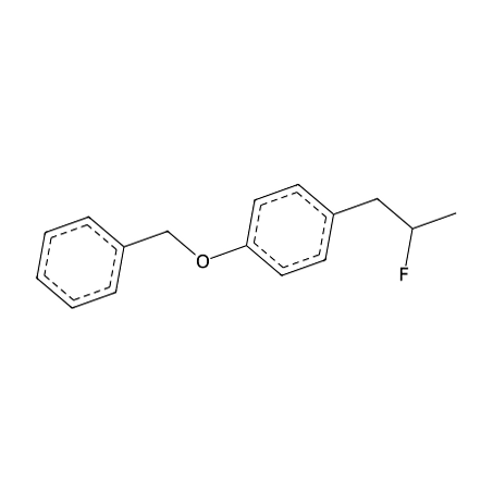 CC(F)Cc1ccc(OCc2ccccc2)cc1